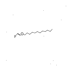 CCCCCCCCCCCCOC=CF